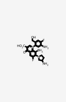 Bc1c(N2CCC(N)C2)c(F)cc2c(=O)c(C(=O)O)cn(-c3cc(N)c(F)cc3CO)c12